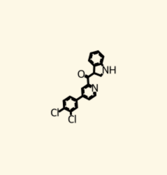 O=C(c1cc(-c2ccc(Cl)c(Cl)c2)ccn1)C1CNc2ccccc21